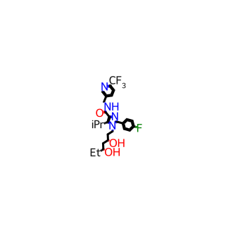 [CH2]CC(O)CC(O)CCn1c(-c2ccc(F)cc2)nc(C(=O)NCc2ccc(C(F)(F)F)nc2)c1C(C)C